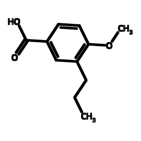 CCCc1cc(C(=O)O)ccc1OC